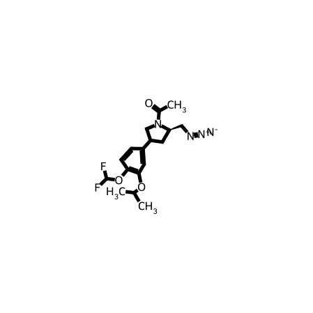 CC(=O)N1CC(c2ccc(OC(F)F)c(OC(C)C)c2)C[C@@H]1CN=[N+]=[N-]